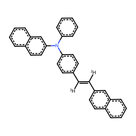 [2H]/C(=C(/[2H])c1ccc2ccccc2c1)c1ccc(N(c2ccccc2)c2ccc3ccccc3c2)cc1